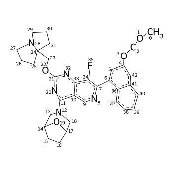 COCOc1cc(-c2ncc3c(N4CC5CCC(C4)O5)nc(OCC45CCCN4CCC5)nc3c2F)c2ccccc2c1